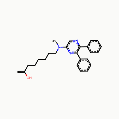 C=C(O)CCCCCCN(c1cnc(-c2ccccc2)c(-c2ccccc2)n1)C(C)C